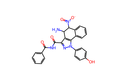 NC1c2c(C(=O)NC(=O)c3ccccc3)nn(-c3ccc(O)cc3)c2-c2ccccc2C1[N+](=O)[O-]